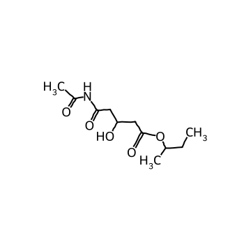 CCC(C)OC(=O)CC(O)CC(=O)NC(C)=O